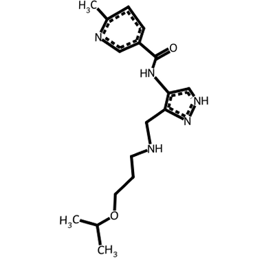 Cc1ccc(C(=O)Nc2c[nH]nc2CNCCCOC(C)C)cn1